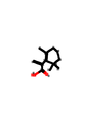 C=C(C(=O)O)C1=C(C)CCCC1(C)C